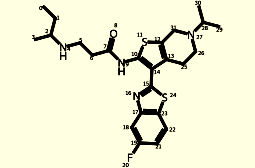 CCC(C)NCCC(=O)Nc1sc2c(c1-c1nc3cc(F)ccc3s1)CCN(C(C)C)C2